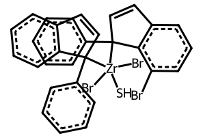 [SH][Zr]([Br])([Br])([C]1(c2ccccc2)C=Cc2ccccc21)[C]1(c2ccccc2)C=Cc2cccc(Br)c21